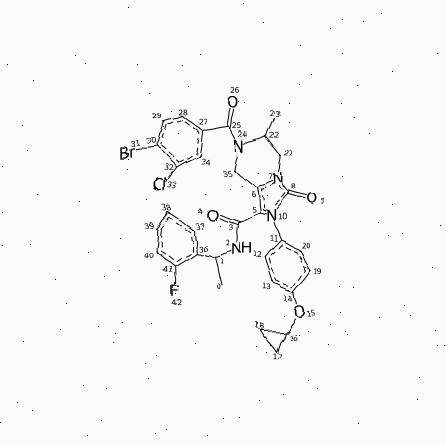 CC(NC(=O)c1c2n(c(=O)n1-c1ccc(OC3CC3)cc1)CC(C)N(C(=O)c1ccc(Br)c(Cl)c1)C2)c1ccccc1F